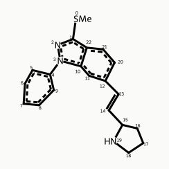 CSc1nn(-c2ccccc2)c2cc(C=CC3CCCN3)ccc12